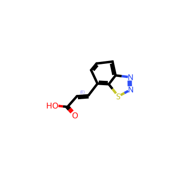 O=C(O)/C=C/c1cccc2nnsc12